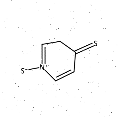 S=C1C=C[N+]([S-])=CC1